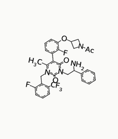 CC(=O)N1CC(Oc2cccc(-c3c(C)n(Cc4c(F)cccc4C(F)(F)F)c(=O)n(CC(N)c4ccccc4)c3=O)c2F)C1